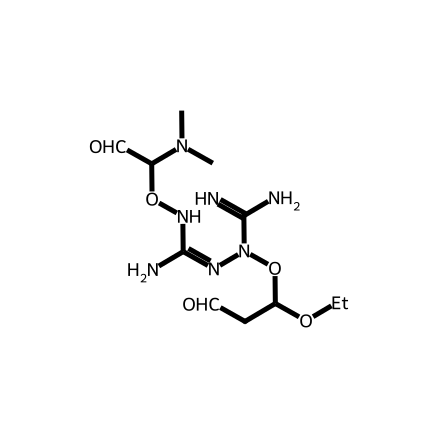 CCOC(CC=O)ON(N=C(N)NOC(C=O)N(C)C)C(=N)N